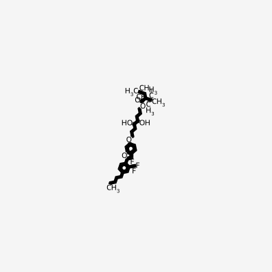 CCCCCc1ccc(-c2cc3ccc(OCCCC(O)C(O)CCCOC(=O)C(CC(C)(C)C)C(C)(C)C)cc3o2)c(C(F)(F)F)c1